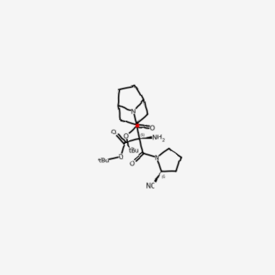 CC(C)(C)OC(=O)N1C2CCC1CC([C@@](N)(C(=O)OC(C)(C)C)C(=O)N1CCC[C@H]1C#N)C2